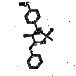 COP(C)(=O)N[C@@H](Cc1ccccc1)C(=O)Nc1ccc(C(=O)O)cc1